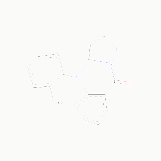 COc1ccccc1N1c2ccccc2C(=O)N2CCCC21